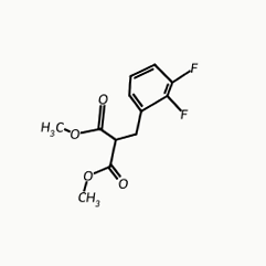 COC(=O)C(Cc1cccc(F)c1F)C(=O)OC